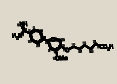 COc1cc(-c2ccc(C(=N)N)cc2)ccc1OCCCCCC(=O)O